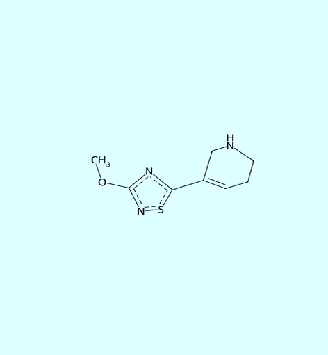 COc1nsc(C2=CCCNC2)n1